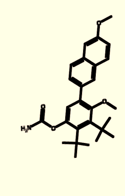 COc1ccc2cc(-c3cc(OC(N)=O)c(C(C)(C)C)c(C(C)(C)C)c3OC)ccc2c1